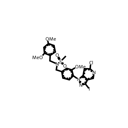 COc1ccc(CN(Cc2ccc(-n3nc(I)c4cnc(Cl)cc43)c(OC)c2)S(C)(=O)=O)c(OC)c1